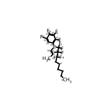 CCCCCCC(F)(F)C(F)(F)C(F)(F)P(CCC)c1cc(F)c(F)c(F)c1F